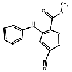 COC(=O)c1ccc(C#N)nc1Nc1ccccc1